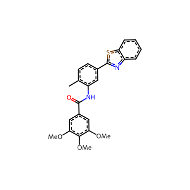 COc1cc(C(=O)Nc2cc(-c3nc4ccccc4s3)ccc2C)cc(OC)c1OC